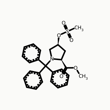 COC(=O)[C@@H]1C[C@H](OS(C)(=O)=O)CN1C(c1ccccc1)(c1ccccc1)c1ccccc1